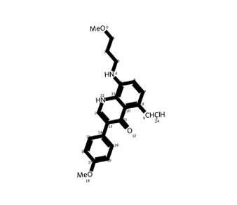 COCCCNc1ccc(C)c2c(=O)c(-c3ccc(OC)cc3)c[nH]c12.Cl